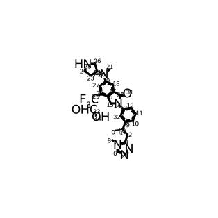 C[C@H](Cc1nncn1C)c1cccc(N2Cc3c(cc(N(C)[C@H]4CCNC4)cc3C(F)(F)F)C2=O)c1.O=CO